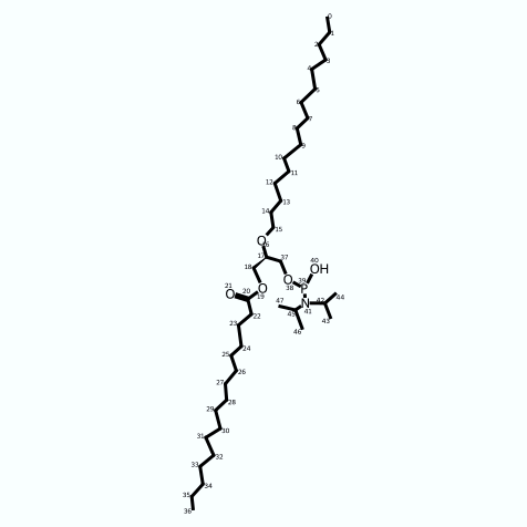 CCCCCCCCCCCCCCCCO[C@H](COC(=O)CCCCCCCCCCCCCCC)COP(O)N(C(C)C)C(C)C